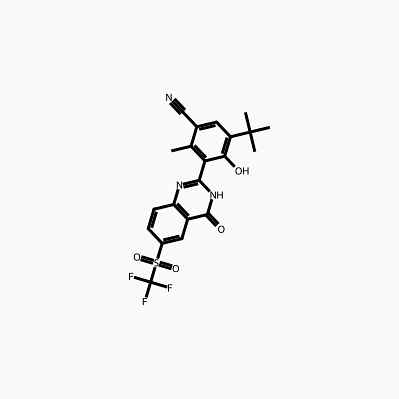 Cc1c(C#N)cc(C(C)(C)C)c(O)c1-c1nc2ccc(S(=O)(=O)C(F)(F)F)cc2c(=O)[nH]1